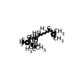 Cc1ccc(CN(C)CCCCCC(O)CNC(=O)CNC(=O)c2cc(C(F)(F)F)ccc2NC(=O)NC(C)C)c(C)c1